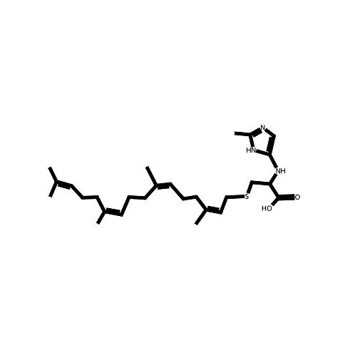 CC(C)=CCCC(C)=CCCC(C)=CCCC(C)=CCSCC(Nc1cnc(C)[nH]1)C(=O)O